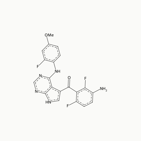 COc1ccc(Nc2ncnc3[nH]cc(C(=O)c4c(F)ccc(N)c4F)c23)c(F)c1